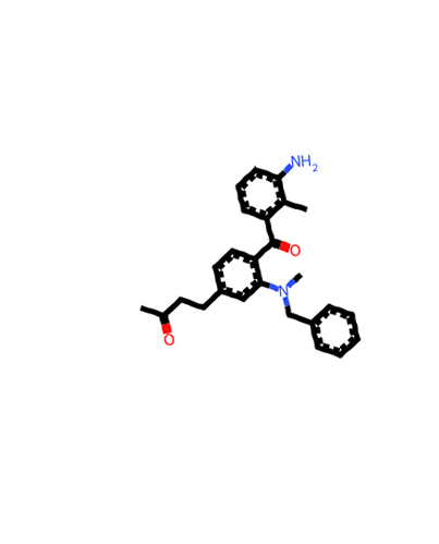 CC(=O)CCc1ccc(C(=O)c2cc[c]c(N)c2C)c(N(C)Cc2ccccc2)c1